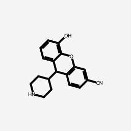 N#Cc1ccc2c(c1)Oc1c(O)cccc1C2C1CCNCC1